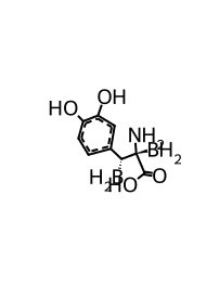 B[C@H](c1ccc(O)c(O)c1)[C@](B)(N)C(=O)O